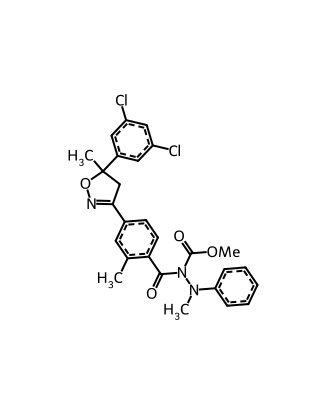 COC(=O)N(C(=O)c1ccc(C2=NOC(C)(c3cc(Cl)cc(Cl)c3)C2)cc1C)N(C)c1ccccc1